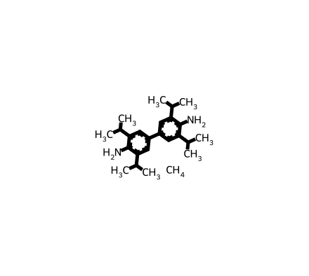 C.CC(C)c1cc(-c2cc(C(C)C)c(N)c(C(C)C)c2)cc(C(C)C)c1N